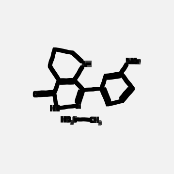 CNc1cccc(-c2n[nH]c(=O)c3c2NCCC3)c1.CS(=O)(=O)O